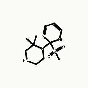 CC1(C)CNCCN1C1(S(C)(=O)=O)N=CC=CN1